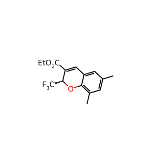 CCOC(=O)C1=Cc2cc(C)cc(C)c2O[C@H]1C(F)(F)F